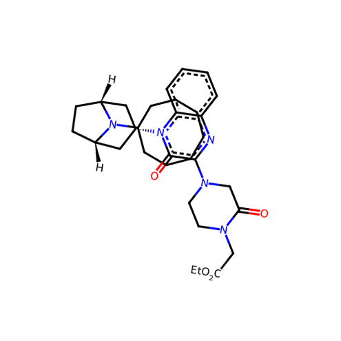 CCOC(=O)CN1CCN(c2nc3ccccc3n([C@H]3C[C@H]4CC[C@@H](C3)N4C3CCCCCCC3)c2=O)CC1=O